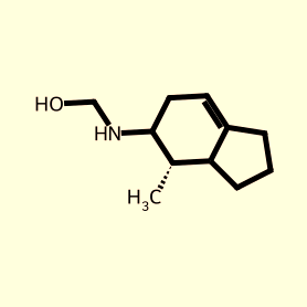 C[C@@H]1C(NCO)CC=C2CCCC21